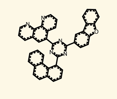 c1ccc2c(c1)ccc1cccc(-c3nc(-c4ccc5oc6ccccc6c5c4)nc(-c4cc5cccnc5c5ncccc45)n3)c12